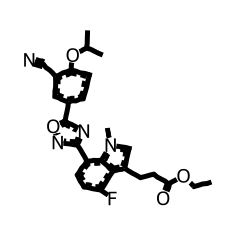 CCOC(=O)CCc1cn(C)c2c(-c3noc(-c4ccc(OC(C)C)c(C#N)c4)n3)ccc(F)c12